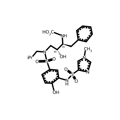 CC(C)CN(C[C@@H](O)[C@H](Cc1ccccc1)NC(=O)O)S(=O)(=O)c1ccc(O)c(NS(=O)(=O)c2cn(C)cn2)c1